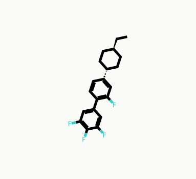 CC[C@H]1CC[C@H](c2ccc(-c3cc(F)c(F)c(F)c3)c(F)c2)CC1